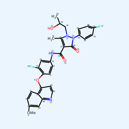 COc1ccc2c(Oc3ccc(NC(=O)c4c(C)n(CC(C)O)n(-c5ccc(F)cc5)c4=O)cc3F)ccnc2c1